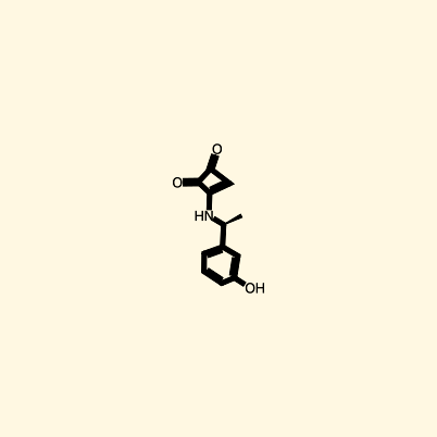 C[C@H](Nc1cc(=O)c1=O)c1cccc(O)c1